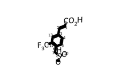 O=C(O)/C=C/c1ccc(C[SH](=O)=O)c(C(F)(F)F)c1